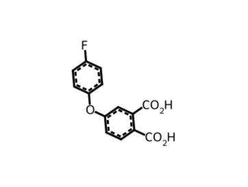 O=C(O)c1ccc(Oc2ccc(F)cc2)cc1C(=O)O